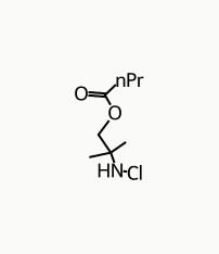 CCCC(=O)OCC(C)(C)NCl